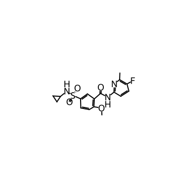 COc1ccc(S(=O)(=O)NC2CC2)cc1C(=O)Nc1ccc(F)c(C)n1